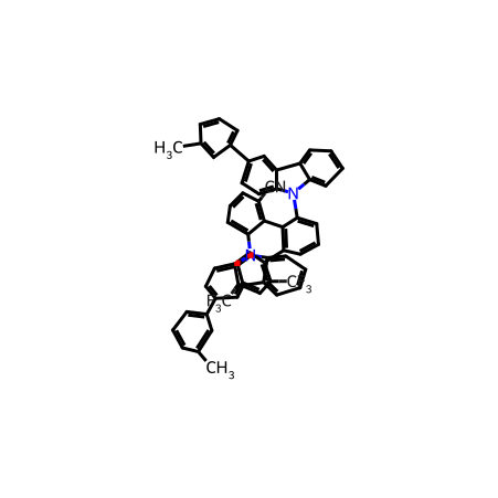 Cc1cccc(-c2ccc3c(c2)c2ccccc2n3-c2cccc(C#N)c2-c2c(-c3ccc(C(F)(F)F)cc3C(F)(F)F)cccc2-n2c3ccccc3c3cc(-c4cccc(C)c4)ccc32)c1